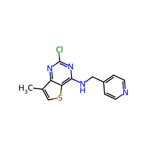 Cc1csc2c(NCc3ccncc3)nc(Cl)nc12